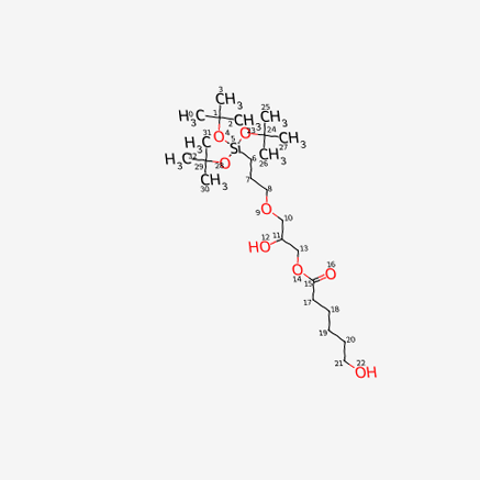 CC(C)(C)O[Si](CCCOCC(O)COC(=O)CCCCCO)(OC(C)(C)C)OC(C)(C)C